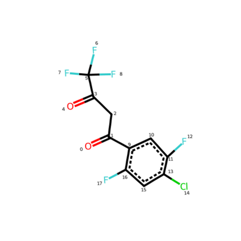 O=C(CC(=O)C(F)(F)F)c1cc(F)c(Cl)cc1F